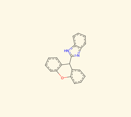 c1ccc2c(c1)Oc1ccccc1C2c1nc2ccccc2[nH]1